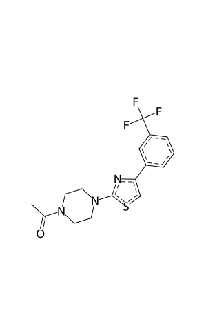 CC(=O)N1CCN(c2nc(-c3cccc(C(F)(F)F)c3)cs2)CC1